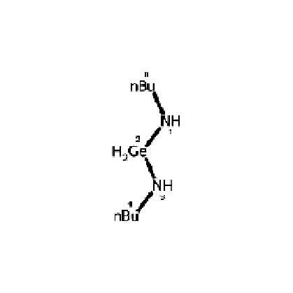 CCCC[NH][GeH2][NH]CCCC